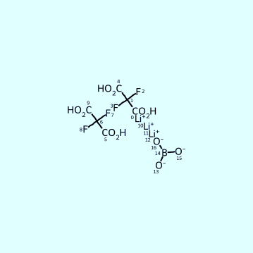 O=C(O)C(F)(F)C(=O)O.O=C(O)C(F)(F)C(=O)O.[Li+].[Li+].[Li+].[O-]B([O-])[O-]